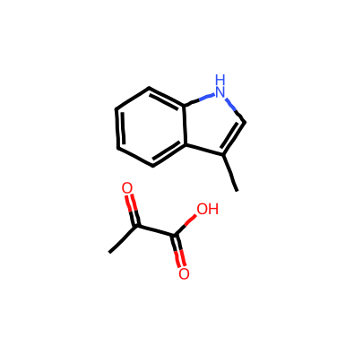 CC(=O)C(=O)O.Cc1c[nH]c2ccccc12